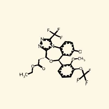 CCOC(=O)C[C@H]1O[C@H](c2cccc(OC(F)(F)F)c2OC)c2cc(Cl)ccc2-n2c1nnc2C(F)(F)F